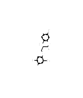 C[C@H](C[C@H](C)Oc1cc(F)c(F)cc1Br)Oc1cc(F)c(F)cc1Br